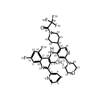 Cc1c(-c2ccccn2)nc2cc(F)cc(F)c2c1Nc1cc(N2CCOCC2)ncc1C1CCN(C(=O)C(F)(F)F)CC1